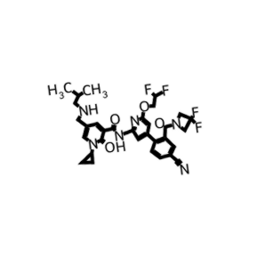 CC(C)CNCc1cc(C(=O)Nc2cc(-c3ccc(C#N)cc3C(=O)N3CC(F)(F)C3)cc(OCC(F)F)n2)c(=O)n(C2CC2)c1